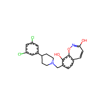 OC1=NOc2c(ccc(CN3CCC(c4cc(Cl)cc(Cl)c4)CC3)c2O)C=C1